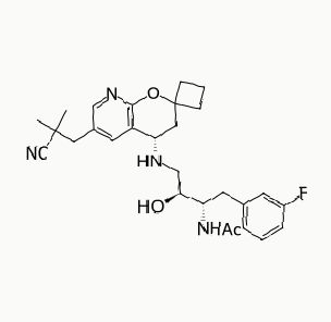 CC(=O)N[C@@H](Cc1cccc(F)c1)[C@@H](O)CN[C@H]1CC2(CCC2)Oc2ncc(CC(C)(C)C#N)cc21